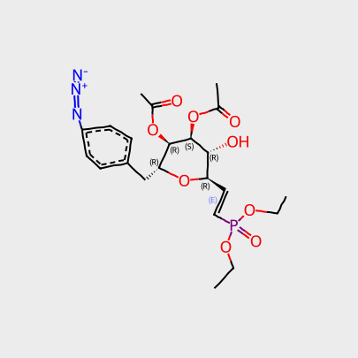 CCOP(=O)(/C=C/[C@H]1O[C@H](Cc2ccc(N=[N+]=[N-])cc2)[C@@H](OC(C)=O)[C@@H](OC(C)=O)[C@@H]1O)OCC